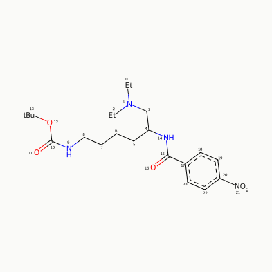 CCN(CC)CC(CCCCNC(=O)OC(C)(C)C)NC(=O)c1ccc([N+](=O)[O-])cc1